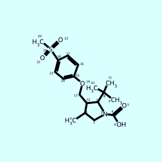 CC1CN(C(=O)O)C(C(C)(C)C)C1COc1ccc(S(C)(=O)=O)cc1